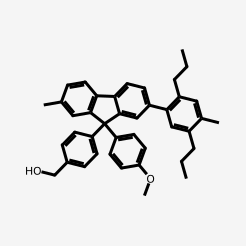 CCCc1cc(-c2ccc3c(c2)C(c2ccc(CO)cc2)(c2ccc(OC)cc2)c2cc(C)ccc2-3)c(CCC)cc1C